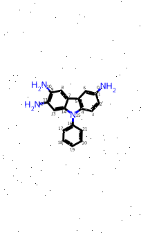 Nc1ccc2c(c1)c1cc(N)c(N)cc1n2-c1ccccc1